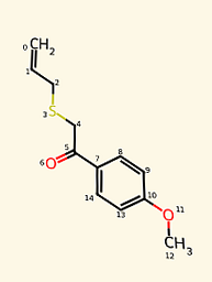 C=CCSCC(=O)c1ccc(OC)cc1